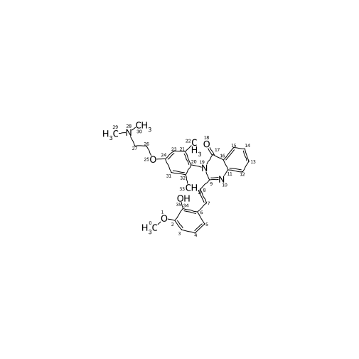 COc1cccc(/C=C/c2nc3ccccc3c(=O)n2-c2c(C)cc(OCCN(C)C)cc2C)c1O